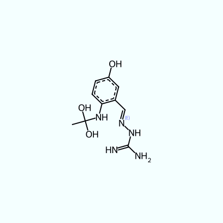 CC(O)(O)Nc1ccc(O)cc1/C=N/NC(=N)N